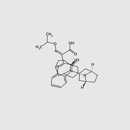 CC(C)ON=C(C(=O)O)c1nc2ccccc2n(C2C[C@H]3CC[C@H](C2)N3[C@@H]2CC3CCCC[C@@H](C3)C2)c1=O